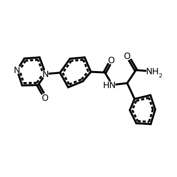 NC(=O)C(NC(=O)c1ccc(-n2ccncc2=O)cc1)c1ccccc1